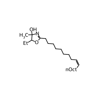 CCCCCCCC/C=C\CCCCCCCCC1=NC(C)(O)C(CC)O1